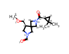 COC[C@@H]1CN(C=O)CC12CN(C(=O)[C@H]1CC1(C)C)C2